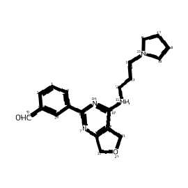 O=Cc1cccc(-c2nc3c(c(NCCCN4CCCC4)n2)COC3)c1